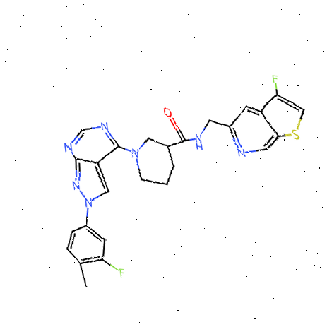 Cc1ccc(-n2cc3c(N4CCCC(C(=O)NCc5cc6c(F)csc6cn5)C4)ncnc3n2)cc1F